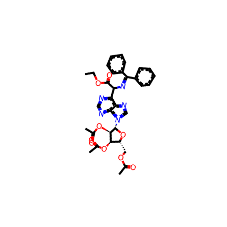 CCOC(=O)C(N=C(c1ccccc1)c1ccccc1)c1ncnc2c1ncn2[C@@H]1O[C@H](COC(C)=O)[C@@H](OC(C)=O)[C@H]1OC(C)=O